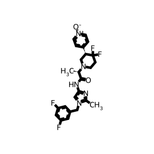 Cc1nc(NC(=O)[C@H](C)N2CCC(F)(F)[C@@H](c3cc[n+]([O-])cc3)C2)cn1Cc1cc(F)cc(F)c1